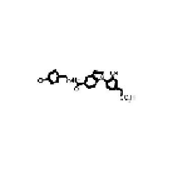 N#Cc1cc(CC(=O)O)ccc1-n1ccc2cc(C(=O)NOCc3ccc(Cl)cc3)ccc21